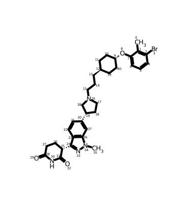 Cc1c(Br)cccc1O[C@H]1CC[C@H](CCCN2CC[C@H](c3ccc4c([C@H]5CCC(=O)NC5=O)nn(C)c4c3)C2)CC1